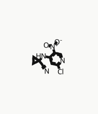 N#CC1(Nc2cc(Cl)ncc2[N+](=O)[O-])CC1